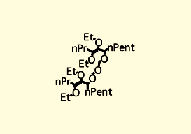 CCCCCC(OCOCOC(CCCCC)C(OCC)=C(CCC)OCC)C(OCC)=C(CCC)OCC